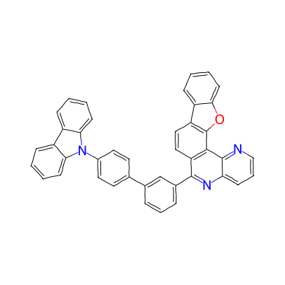 c1cc(-c2ccc(-n3c4ccccc4c4ccccc43)cc2)cc(-c2nc3cccnc3c3c2ccc2c4ccccc4oc23)c1